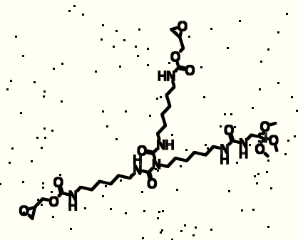 CO[Si](CNC(=O)NCCCCCCN(C(=O)NCCCCCCNC(=O)OCC1CO1)C(=O)NCCCCCCNC(=O)OCC1CO1)(OC)OC